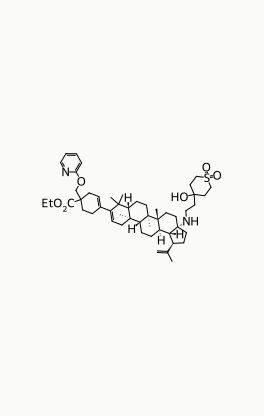 C=C(C)[C@@H]1CC[C@]2(NCCC3(O)CCS(=O)(=O)CC3)CC[C@]3(C)[C@H](CC[C@@H]4[C@@]5(C)CC=C(C6=CCC(COc7ccccn7)(C(=O)OCC)CC6)C(C)(C)[C@@H]5CC[C@]43C)[C@@H]12